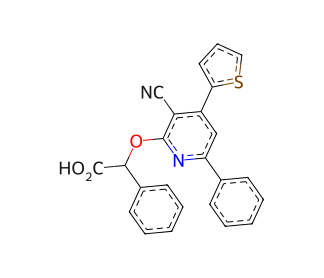 N#Cc1c(-c2cccs2)cc(-c2ccccc2)nc1OC(C(=O)O)c1ccccc1